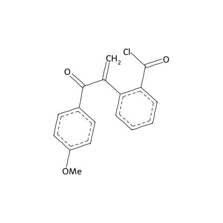 C=C(C(=O)c1ccc(OC)cc1)c1ccccc1C(=O)Cl